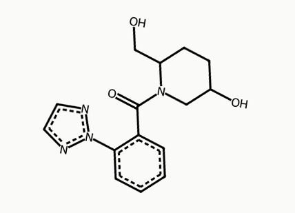 O=C(c1ccccc1-n1nccn1)N1CC(O)CCC1CO